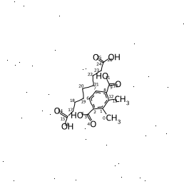 Cc1c(C(=O)O)ccc(C(=O)O)c1C.O=C(O)CCCCCCCC(=O)O